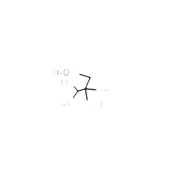 O.O=C(O)CC(O)(C(=O)O)C(O)C(=O)[O-].[K+]